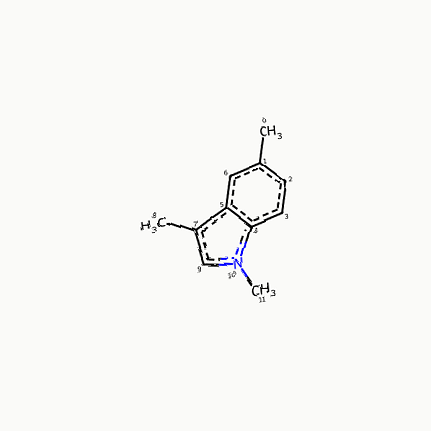 Cc1ccc2c(c1)c(C)cn2C